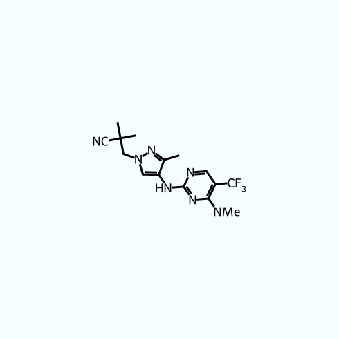 CNc1nc(Nc2cn(CC(C)(C)C#N)nc2C)ncc1C(F)(F)F